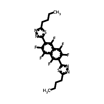 CCCCc1nnc(-c2c(F)c(F)c3c(F)c(-c4nnc(CCCC)s4)c(F)c(F)c3c2F)s1